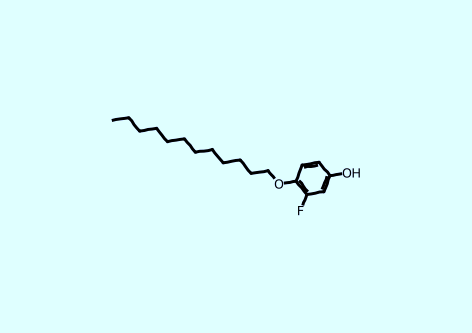 CCCCCCCCCCCCOc1ccc(O)cc1F